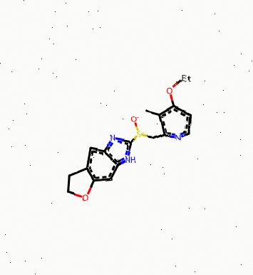 CCOc1ccnc(C[S+]([O-])c2nc3cc4c(cc3[nH]2)OCC4)c1C